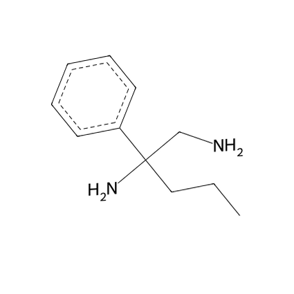 CCCC(N)(CN)c1ccccc1